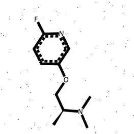 C[C@@H](COc1ccc(F)nc1)N(C)C